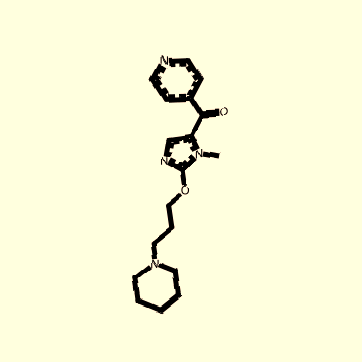 Cn1c(C(=O)c2ccncc2)cnc1OCCCN1CCCCC1